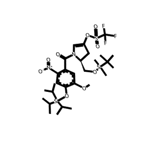 COc1cc(C(=O)N2C=C(OS(=O)(=O)C(F)(F)F)C[C@H]2CO[Si](C)(C)C(C)(C)C)c([N+](=O)[O-])cc1O[Si](C(C)C)(C(C)C)C(C)C